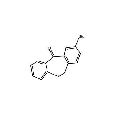 CC(C)(C)c1ccc2c(c1)C(=O)c1ccccc1SC2